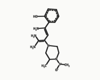 CC1CN(C(/C=C(\N)c2ccccc2O)=C(N)N)CCN1[S+](C)[O-]